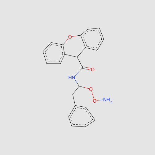 NOOC(Cc1ccccc1)NC(=O)C1c2ccccc2Oc2ccccc21